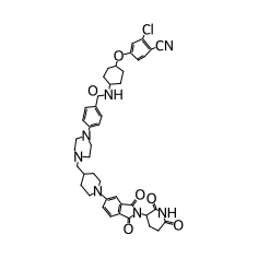 N#Cc1ccc(OC2CCC(NC(=O)c3ccc(N4CCN(CC5CCN(c6ccc7c(c6)C(=O)N(C6CCC(=O)NC6=O)C7=O)CC5)CC4)cc3)CC2)cc1Cl